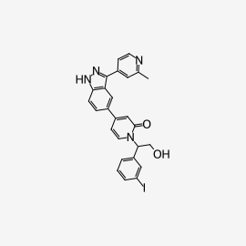 Cc1cc(-c2n[nH]c3ccc(-c4ccn(C(CO)c5cccc(I)c5)c(=O)c4)cc23)ccn1